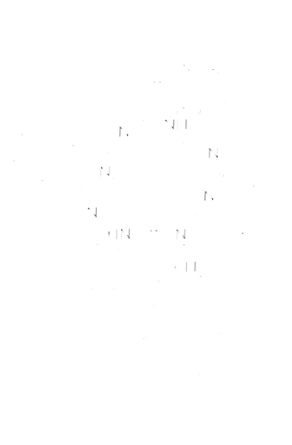 C=C(c1ccc2ccccc2c1)c1cccc2c3nc4nc(nc5[nH]c(nc6nc(nc([nH]3)c12)-c1ccccc1-6)c1ccccc51)-c1ccccc1-4